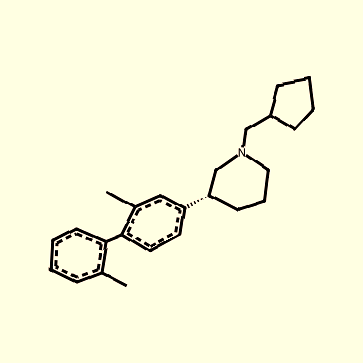 Cc1ccccc1-c1ccc([C@H]2CCCN(CC3CCCC3)C2)cc1C